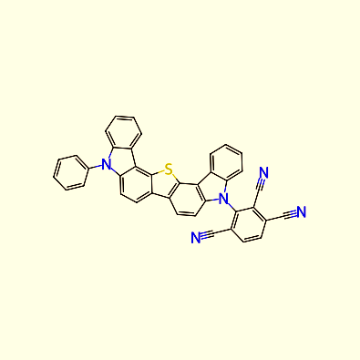 N#Cc1ccc(C#N)c(-n2c3ccccc3c3c4sc5c(ccc6c5c5ccccc5n6-c5ccccc5)c4ccc32)c1C#N